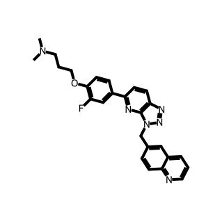 CN(C)CCCOc1ccc(-c2ccc3nnn(Cc4ccc5ncccc5c4)c3n2)cc1F